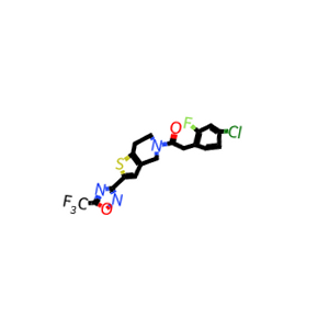 O=C(Cc1ccc(Cl)cc1F)N1CCc2sc(-c3noc(C(F)(F)F)n3)cc2C1